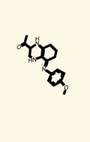 COc1ccc(/N=C2\CCCC3=C2NCC(C(C)=O)N3)cc1